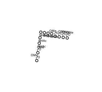 CC(=O)Nc1ccccc1.CC(=O)Nc1ccccc1.CC(=O)Nc1ccccc1.CC(=O)Nc1ccccc1.CC(=O)Nc1ccccc1.CC(=O)Nc1ccccc1.COC(=O)Cc1ccccc1.COC(=O)Cc1ccccc1.COC(=O)Cc1ccccc1.COC(=O)Cc1ccccc1.COC(=O)Cc1ccccc1.COC(=O)Cc1ccccc1